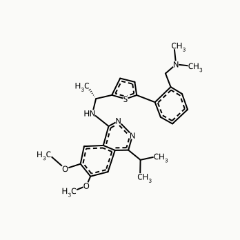 COc1cc2c(N[C@H](C)c3ccc(-c4ccccc4CN(C)C)s3)nnc(C(C)C)c2cc1OC